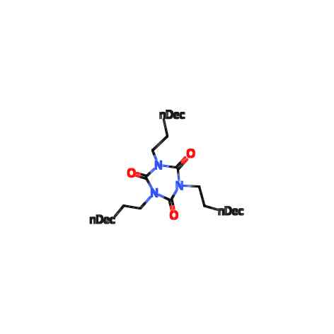 CCCCCCCCCCCCn1c(=O)n(CCCCCCCCCCCC)c(=O)n(CCCCCCCCCCCC)c1=O